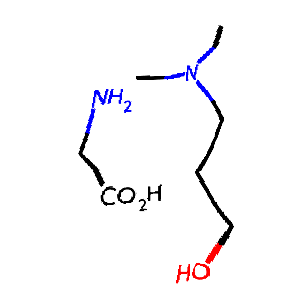 CN(C)CCCO.NCC(=O)O